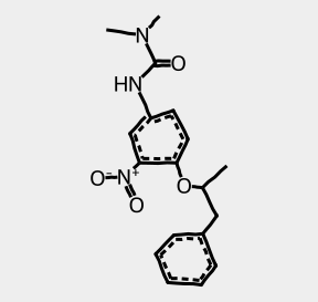 CC(Cc1ccccc1)Oc1ccc(NC(=O)N(C)C)cc1[N+](=O)[O-]